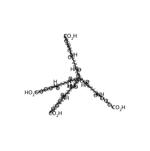 O=C(O)CCOCCOCCOCCNC(=O)CCCCCCCNC(=O)CCOCC(COCCC(=O)NCCCCCCCC(=O)NCCOCCOCCOCCC(=O)O)(COCCC(=O)NCCCCCCCC(=O)NCCOCCOCCOCCC(=O)O)COCCC(=O)NCCCCCCCC(=O)NCCOCCOCCOCCC(=O)O